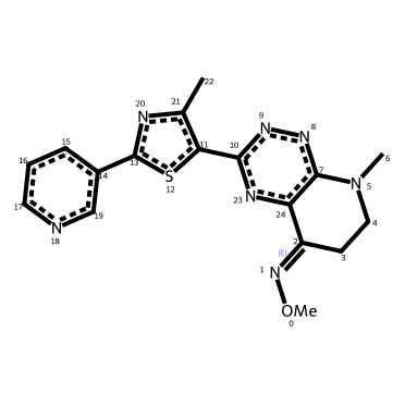 CO/N=C1\CCN(C)c2nnc(-c3sc(-c4cccnc4)nc3C)nc21